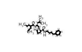 CCCC(CCC)C(=O)N[C@H](CC(C)C)CN1CCC[C@H]1C(=O)NCCCCc1ccccc1